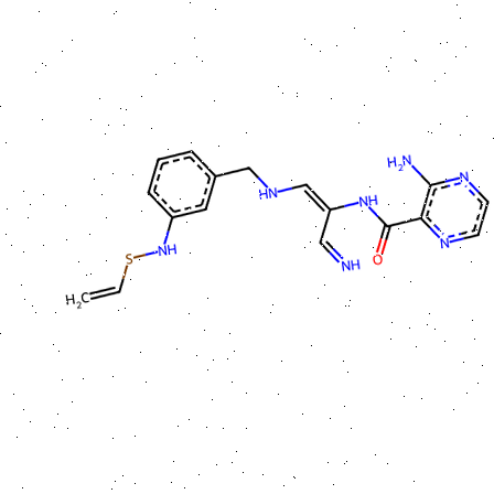 C=CSNc1cccc(CN/C=C(\C=N)NC(=O)c2nccnc2N)c1